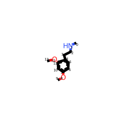 CNCCc1ccc(OC)cc1OC